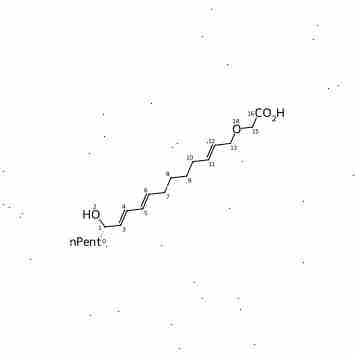 CCCCC[C@H](O)C=CC=CCCCCC=CCOCC(=O)O